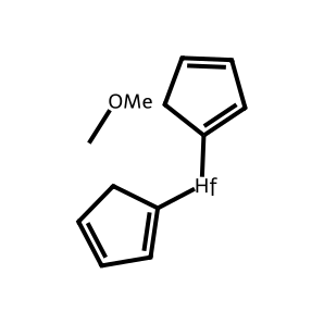 C1=CC[C]([Hf][C]2=CC=CC2)=C1.COC